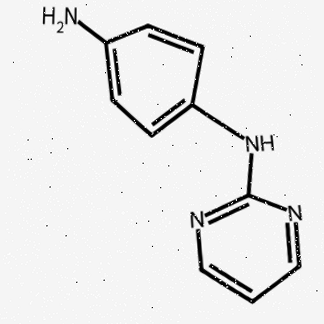 Nc1ccc(Nc2ncccn2)cc1